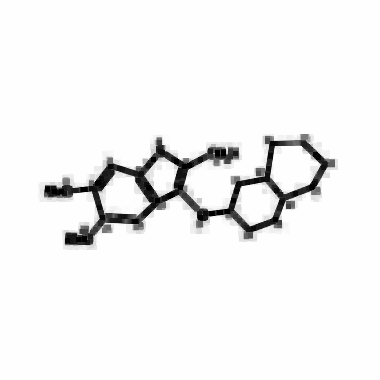 COc1cc2sc(C(=O)O)c(OC3CCC4CCCCC4C3)c2cc1OC